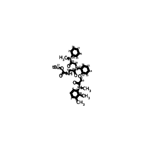 Cc1cccc(N(C)C(=O)COc2ccccc2N(CC(=O)N(C)c2ccccc2)C(=O)CNC(=O)OC(C)(C)C)c1C